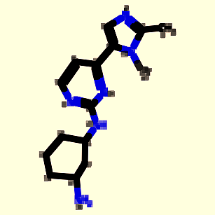 Cc1ncc(-c2ccnc(NC3CCCC(N)C3)n2)n1C(C)C